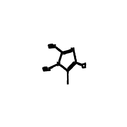 Cc1c(Cl)nc(C(C)(C)C)n1C(C)(C)C